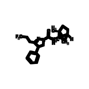 CC1(C)[C@@H]2CC[C@@]1(C)[C@@H](NC(=O)N1CC(c3ccccc3)C(CCC(F)(F)F)=N1)C2